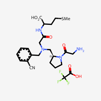 CSCCC(NC(=O)CN(Cc1ccccc1C#N)C[C@@H]1CCCN1C(=O)CN)C(=O)O.O=C(O)C(F)(F)F